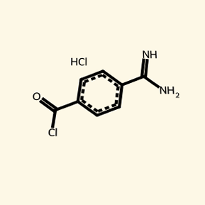 Cl.N=C(N)c1ccc(C(=O)Cl)cc1